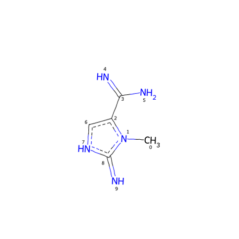 Cn1c(C(=N)N)c[nH]c1=N